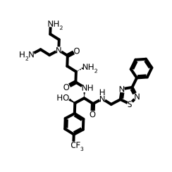 NCCN(CCN)C(=O)C[C@H](N)C(=O)N[C@H](C(=O)NCc1nc(-c2ccccc2)ns1)[C@H](O)c1ccc(C(F)(F)F)cc1